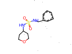 O=S(=O)(NCc1ccccc1)NC1CCOCC1